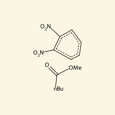 CCCCC(=O)OC.O=[N+]([O-])c1ccccc1[N+](=O)[O-]